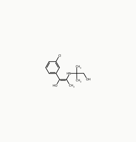 C/C(NC(C)(C)CO)=C(\O)c1cccc(Cl)c1